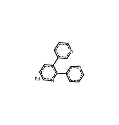 [Pd].c1cncc(-c2cccnc2-c2cccnc2)c1